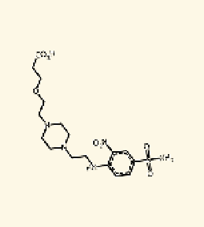 NS(=O)(=O)c1ccc(NCCN2CCN(CCOCCC(=O)O)CC2)c([N+](=O)[O-])c1